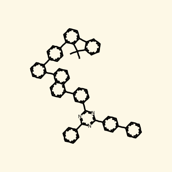 CC1(C)c2ccccc2-c2cccc(-c3ccc(-c4ccccc4-c4cccc5c(-c6cccc(-c7nc(-c8ccccc8)nc(-c8ccc(-c9ccccc9)cc8)n7)c6)cccc45)cc3)c21